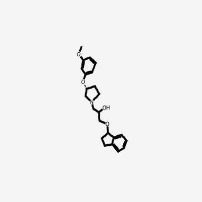 COc1cccc(O[C@@H]2CCN(CC(O)COC3CCc4ccccc43)C2)c1